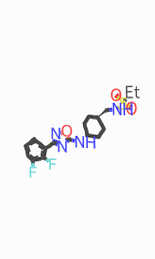 CCS(=O)(=O)NC[C@H]1CC[C@H](Nc2nc(-c3cccc(F)c3F)no2)CC1